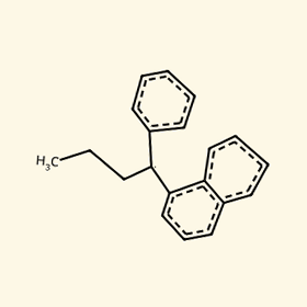 CCC[C](c1ccccc1)c1cccc2ccccc12